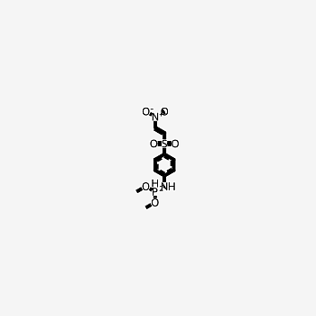 CO[PH2](Nc1ccc(S(=O)(=O)C=C[N+](=O)[O-])cc1)OC